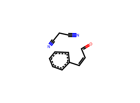 N#CCC#N.O=C/C=C\c1ccccc1